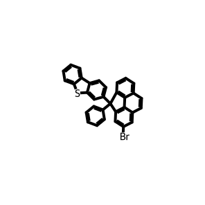 Brc1cc2c3c(ccc4cccc(c43)C2(c2ccccc2)c2ccc3c(c2)sc2ccccc23)c1